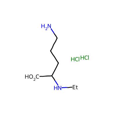 CCNC(CCCN)C(=O)O.Cl.Cl